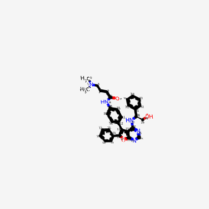 CN(C)C/C=C/C(=O)Nc1ccc(-c2c(-c3ccccc3)oc3ncnc(N[C@H](CO)c4ccccc4)c23)cc1